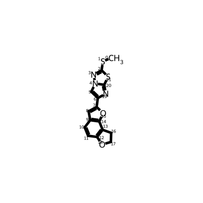 CSc1nn2cc(-c3cc4ccc5c(c4o3)CCO5)nc2s1